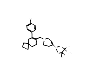 CC1(C)OB(C2=CCN(CC3=C(c4ccc(Cl)cc4)CC4(CCC4)CC3)CC2)OC1(C)C